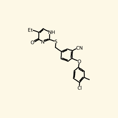 CCc1c[nH]c(SCc2ccc(Oc3ccc(Cl)c(C)c3)c(C#N)c2)nc1=O